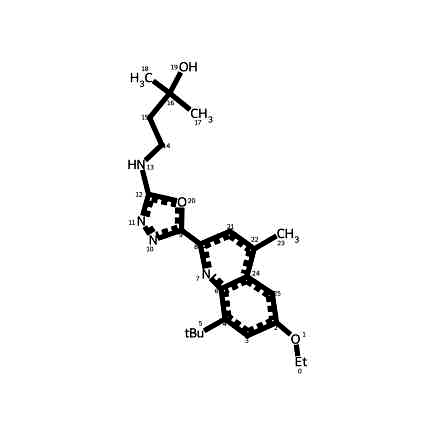 CCOc1cc(C(C)(C)C)c2nc(-c3nnc(NCCC(C)(C)O)o3)cc(C)c2c1